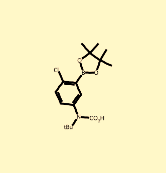 CC(C)(C)N(C(=O)O)c1ccc(Cl)c(B2OC(C)(C)C(C)(C)O2)c1